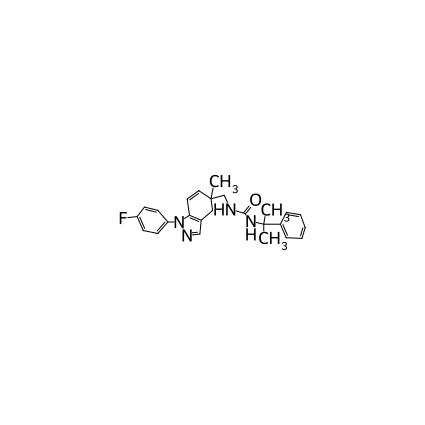 CC1(CNC(=O)NC(C)(C)c2ccccc2)C=Cc2c(cnn2-c2ccc(F)cc2)C1